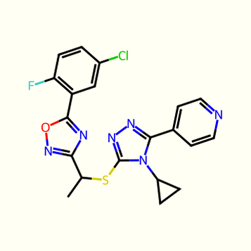 CC(Sc1nnc(-c2ccncc2)n1C1CC1)c1noc(-c2cc(Cl)ccc2F)n1